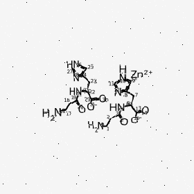 NCCC(=O)N[C@@H](Cc1c[nH]cn1)C(=O)[O-].NCCC(=O)N[C@@H](Cc1c[nH]cn1)C(=O)[O-].[Zn+2]